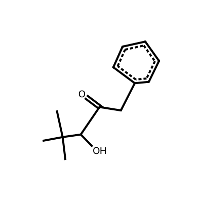 CC(C)(C)C(O)C(=O)Cc1ccccc1